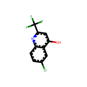 Oc1cc(C(F)(F)F)nc2ccc(Cl)cc12